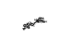 Cc1cc(COC2(c3cnccc3-c3ccccc3OC3CC3)CC2)c(Cl)cc1CCCCC(=O)N[C@@H](CO)[C@@H](O)[C@H](O)[C@H](O)CO